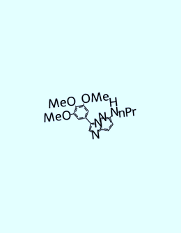 CCCNc1ccc2ncc(-c3cc(OC)c(OC)c(OC)c3)n2n1